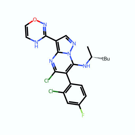 C[C@@H](Nc1c(-c2ccc(F)cc2Cl)c(Cl)nc2c(C3=NOC=CN3)cnn12)C(C)(C)C